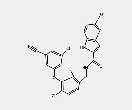 N#Cc1cc(Cl)cc(Oc2c(Cl)ccc(CNC(=O)c3cc4cc(Br)ccc4[nH]3)c2F)c1